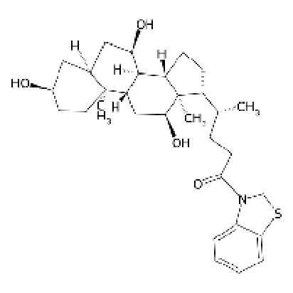 C[C@H](CCC(=O)N1CSc2ccccc21)[C@H]1CC[C@H]2[C@@H]3[C@H](O)C[C@@H]4C[C@H](O)CC[C@]4(C)[C@H]3C[C@H](O)[C@]12C